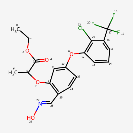 CCOC(=O)C(C)Oc1cc(Oc2cccc(C(F)(F)F)c2Cl)ccc1C=NO